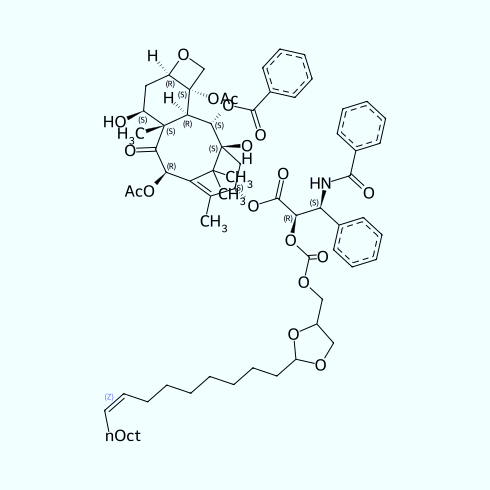 CCCCCCCC/C=C\CCCCCCCC1OCC(COC(=O)O[C@@H](C(=O)O[C@H]2C[C@@]3(O)[C@@H](OC(=O)c4ccccc4)[C@@H]4[C@]5(OC(C)=O)CO[C@@H]5C[C@H](O)[C@@]4(C)C(=O)[C@H](OC(C)=O)C(=C2C)C3(C)C)[C@@H](NC(=O)c2ccccc2)c2ccccc2)O1